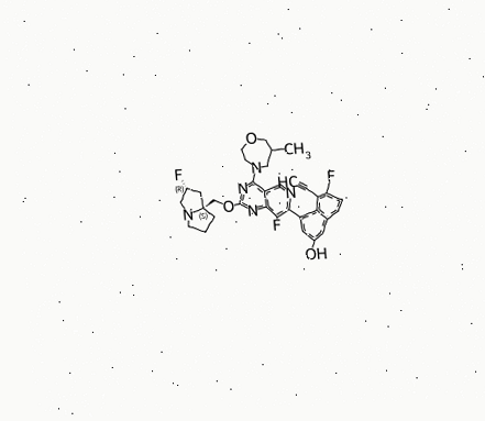 C#Cc1c(F)ccc2cc(O)cc(-c3ncc4c(N5CCOCC(C)C5)nc(OC[C@@]56CCCN5C[C@H](F)C6)nc4c3F)c12